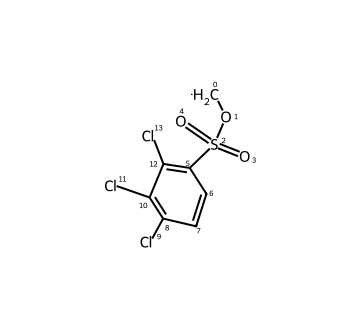 [CH2]OS(=O)(=O)c1ccc(Cl)c(Cl)c1Cl